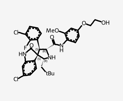 COc1cc(OCCO)ccc1NC(=O)[C@@H]1N[C@H](CC(C)(C)C)[C@]2(C(=O)Nc3cc(Cl)ccc32)[C@H]1c1cccc(Cl)c1F